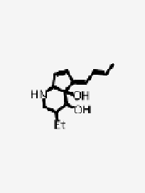 CC=CC=C1C=CC2NCC(CC)C(O)C12O